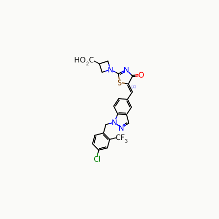 O=C1N=C(N2CC(C(=O)O)C2)S/C1=C\c1ccc2c(cnn2Cc2ccc(Cl)cc2C(F)(F)F)c1